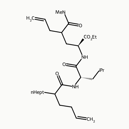 C=CCCC(CCCCCCC)C(=O)N[C@@H](CC(C)C)C(=O)N[C@@H](CC(CC=C)C(=O)NC)C(=O)OCC